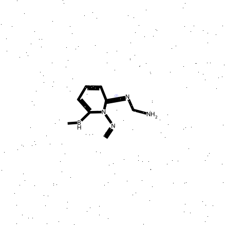 C=Nn1c(BC)ccc/c1=N/CN